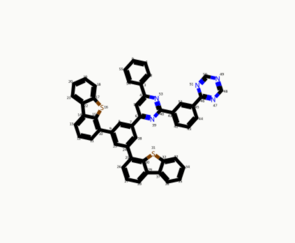 c1ccc(-c2cc(-c3cc(-c4cccc5c4sc4ccccc45)cc(-c4cccc5c4sc4ccccc45)c3)nc(-c3cccc(-c4ncncn4)c3)n2)cc1